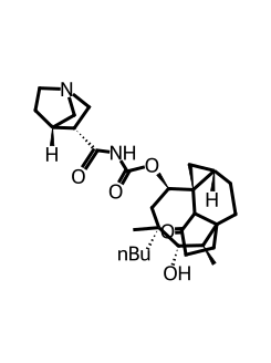 CCCC[C@]1(C)C[C@@H](OC(=O)NC(=O)[C@H]2CN3CC[C@@H]2C3)[C@]23C[C@@H]2CCC2(CCC(=O)C23)[C@@H](C)[C@@H]1O